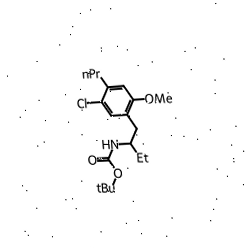 CCCc1cc(OC)c(CC(CC)NC(=O)OC(C)(C)C)cc1Cl